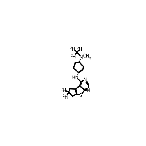 [2H]C1([2H])Cc2sc3ncnc(N[C@H]4CC[C@H](N(C)C([2H])([2H])[2H])CC4)c3c2C1